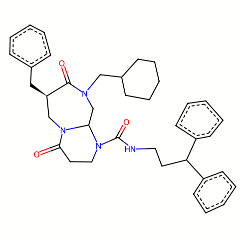 O=C1[C@H](Cc2ccccc2)CN2C(=O)CCN(C(=O)NCCC(c3ccccc3)c3ccccc3)C2CN1CC1CCCCC1